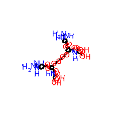 N=C(N)Nc1ccc(C(=O)Oc2cc(OCCOCCOCCOc3cc(OC(=O)c4ccc(NC(=N)N)cc4)cc(C(=O)NC(CC(=O)O)C(=O)O)c3)cc(C(=O)NC(CC(=O)O)C(=O)O)c2)cc1